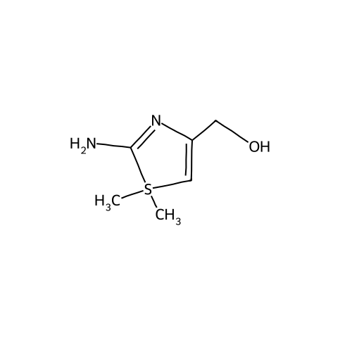 CS1(C)C=C(CO)N=C1N